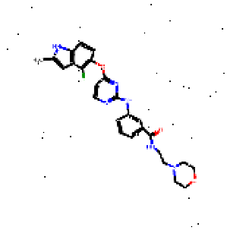 Cc1cc2c(F)c(Oc3ccnc(Nc4cccc(C(=O)NCCN5CCOCC5)c4)n3)ccc2[nH]1